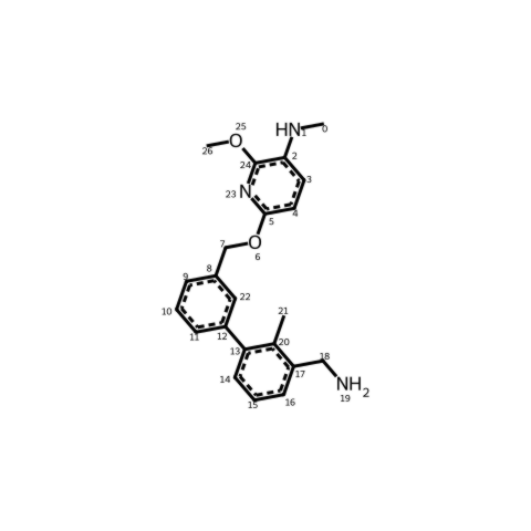 CNc1ccc(OCc2cccc(-c3cccc(CN)c3C)c2)nc1OC